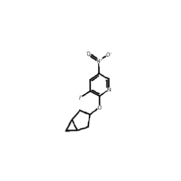 O=[N+]([O-])c1cnc(OC2CC3CC3C2)c(F)c1